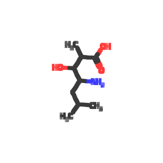 CC(C)CC(N)C(O)C(C)C(=O)O